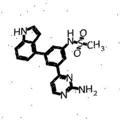 CS(=O)(=O)Nc1cc(-c2ccnc(N)n2)cc(-c2cccc3[nH]ccc23)c1